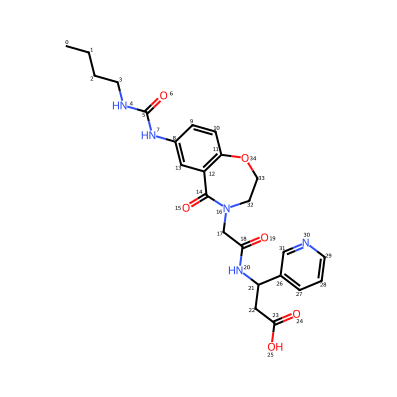 CCCCNC(=O)Nc1ccc2c(c1)C(=O)N(CC(=O)NC(CC(=O)O)c1cccnc1)CCO2